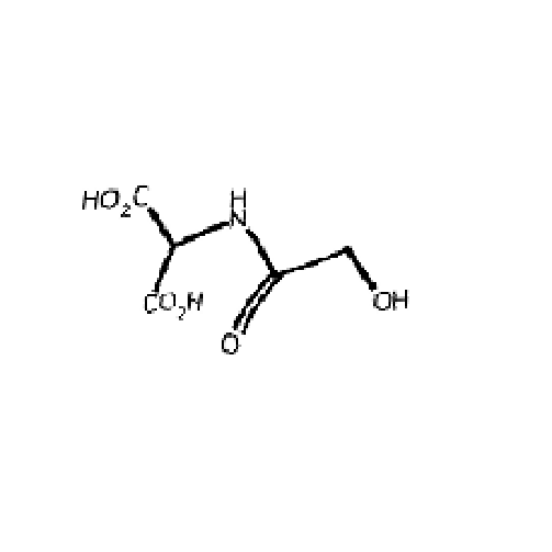 O=C(CO)NC(C(=O)O)C(=O)O